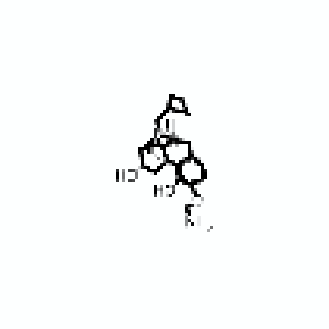 NCOc1ccc2c(c1O)[C@]13CCN(CC4CCC4)[C@H](C2)[C@]1(O)CC[C@@H](O)C3